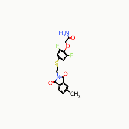 Cc1ccc2c(c1)C(=O)N(CCSc1cc(F)c(OCC(N)=O)c(F)c1)C2=O